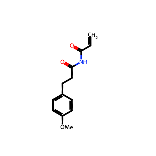 C=CC(=O)NC(=O)CCc1ccc(OC)cc1